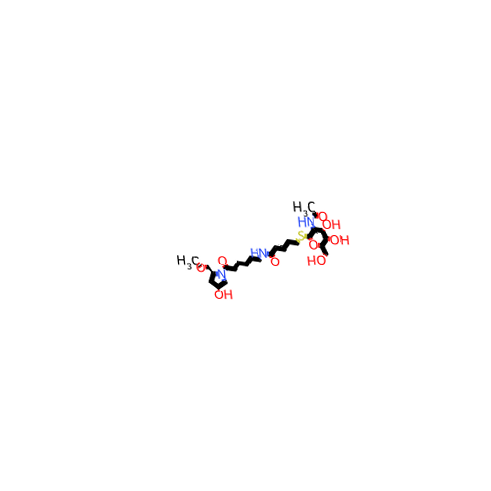 COC[C@@H]1C[C@@H](O)CN1C(=O)CCCCCNC(=O)CCCCSC1OC(CO)C(O)C(O)C1NC(C)=O